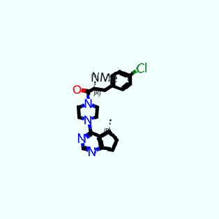 CN[C@H](Cc1ccc(Cl)cc1)C(=O)N1CCN(c2ncnc3c2[C@H](C)CC3)CC1